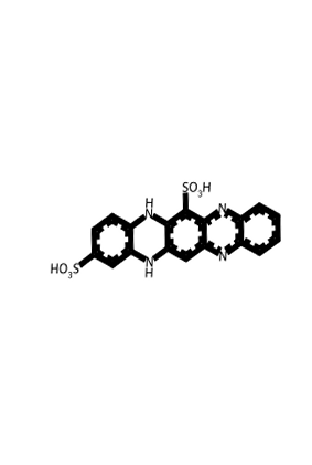 O=S(=O)(O)c1ccc2c(c1)Nc1cc3nc4ccccc4nc3c(S(=O)(=O)O)c1N2